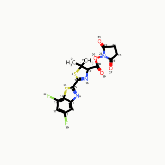 CC1(C)SC(c2nc3cc(F)cc(F)c3s2)=NC1C(=O)ON1C(=O)CCC1=O